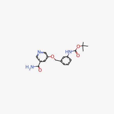 CC(C)(C)OC(=O)Nc1cccc(COc2cncc(C(N)=O)c2)c1